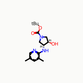 Cc1cnc(N[C@@H]2CN(C(=O)OC(C)(C)C)C[C@H]2O)c(C)c1